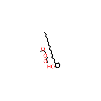 C(OCC1CO1)C1CO1.CCCCCCCCCCCC=CCCc1ccccc1O